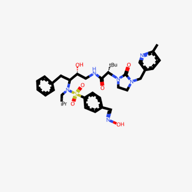 Cc1ccc(CN2CCN([C@H](C(=O)NC[C@@H](O)C(Cc3ccccc3)N(CC(C)C)S(=O)(=O)c3ccc(/C=N/O)cc3)C(C)(C)C)C2=O)cn1